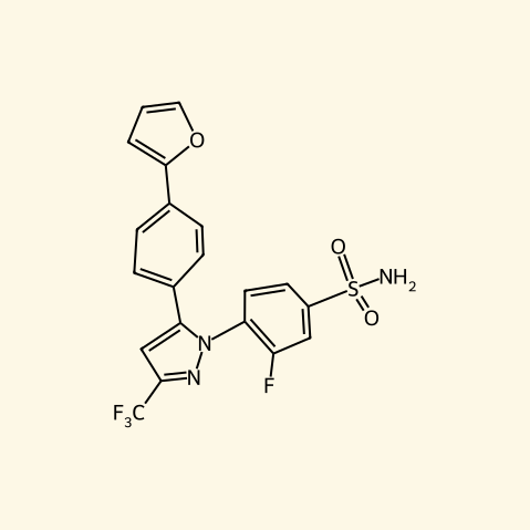 NS(=O)(=O)c1ccc(-n2nc(C(F)(F)F)cc2-c2ccc(-c3ccco3)cc2)c(F)c1